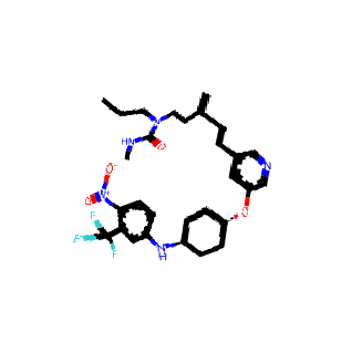 CCCN(CCC(C)CCc1cncc(O[C@H]2CC[C@H](Nc3ccc([N+](=O)[O-])c(C(F)(F)F)c3)CC2)c1)C(=O)NC